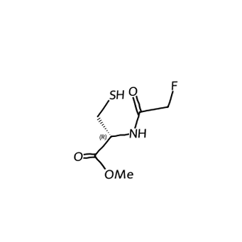 COC(=O)[C@H](CS)NC(=O)CF